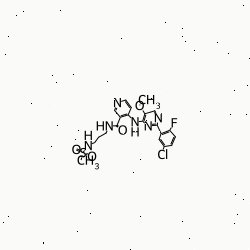 COc1cnc(-c2cc(Cl)ccc2F)nc1Nc1ccncc1C(=O)NCCCNS(C)(=O)=O